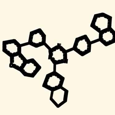 C1=Cc2cc(-c3nc(-c4ccc(-c5cccc6ccccc56)cc4)nc(-c4cccc(-c5cccc6oc7ccccc7c56)c4)n3)ccc2CC1